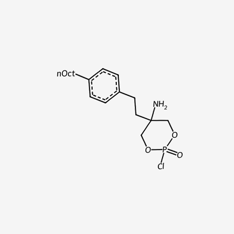 CCCCCCCCc1ccc(CCC2(N)COP(=O)(Cl)OC2)cc1